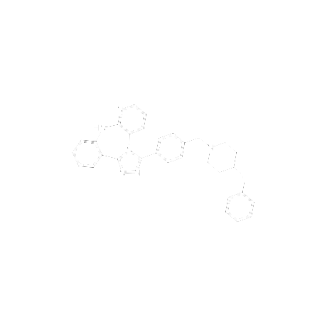 c1ccc(OC2CCN(Cc3ccc(-c4nnc5n4-c4cccnc4Nc4ccccc4-5)cc3)CC2)cc1